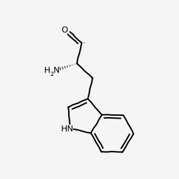 N[C@H]([C]=O)Cc1c[nH]c2ccccc12